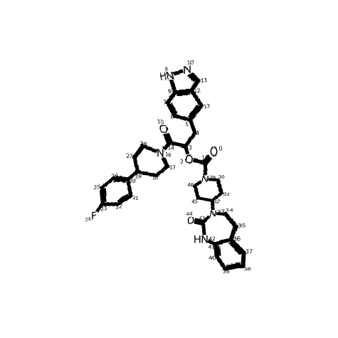 O=C(OC(Cc1ccc2[nH]ncc2c1)C(=O)N1CCC(c2ccc(F)cc2)CC1)N1CCC(N2CCc3ccccc3NC2=O)CC1